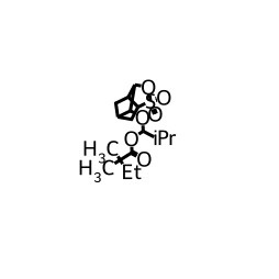 CCC(C)(C)C(=O)OC(OC1C2CC3C1OS(=O)(=O)C3C2)C(C)C